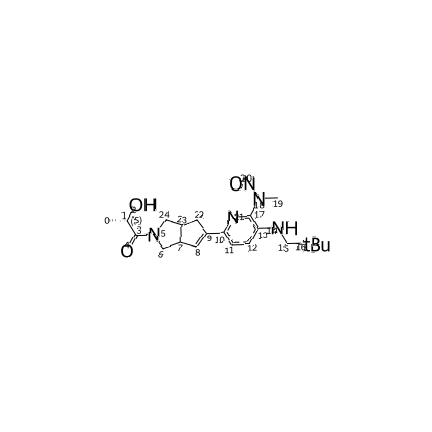 C[C@H](O)C(=O)N1CC2C=C(c3ccc(NCC(C)(C)C)c(N(C)N=O)n3)CC2C1